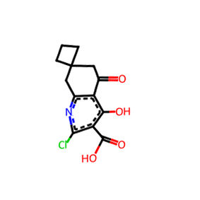 O=C(O)c1c(Cl)nc2c(c1O)C(=O)CC1(CCC1)C2